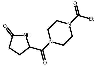 CCC(=O)N1CCN(C(=O)C2CCC(=O)N2)CC1